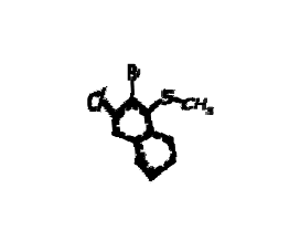 [B]c1c(Cl)cc2ccccc2c1SC